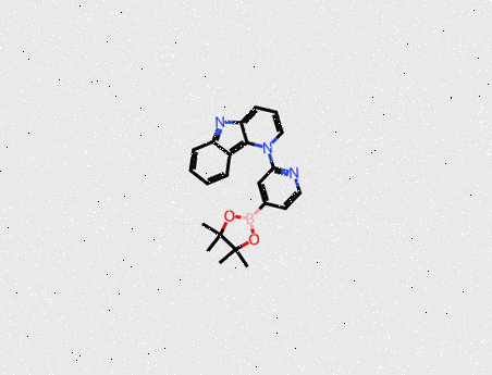 CC1(C)OB(c2ccnc(-n3cccc4nc5ccccc5c3-4)c2)OC1(C)C